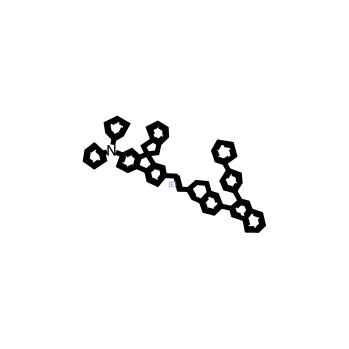 C1=C(/C=C/c2ccc3c(c2)C2(Cc4ccccc4C2)c2cc(N(c4ccccc4)c4ccccc4)ccc2-3)CCc2cc(-c3cc4ccccc4cc3-c3ccc(-c4ccccc4)cc3)ccc21